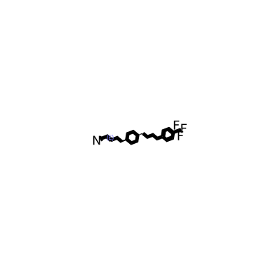 N#C/C=C/CC[C@H]1CC[C@H](CCCCc2ccc(C(F)(F)F)cc2)CC1